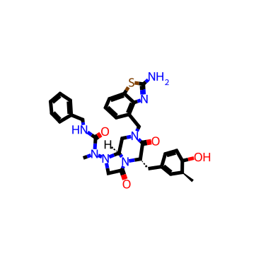 C[C@H]1C=C(C[C@H]2C(=O)N(Cc3cccc4sc(N)nc34)C[C@H]3N2C(=O)CN3N(C)C(=O)NCc2ccccc2)C=CC1O